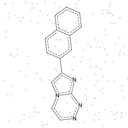 c1ccc2cc(-c3cn4ccnnc4n3)ccc2c1